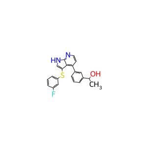 CC(O)c1cccc(-c2ccnc3[nH]cc(Sc4cccc(F)c4)c23)c1